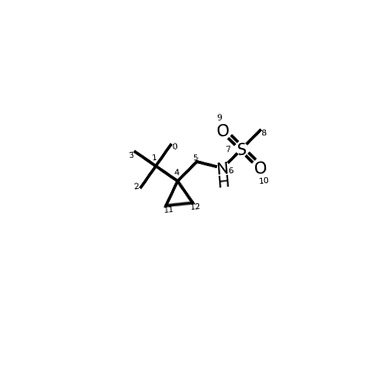 CC(C)(C)C1(CNS(C)(=O)=O)CC1